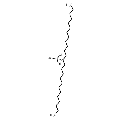 CCCCCCCCCCC[CH2][Sn][CH2]CCCCCCCCCCC.OB(O)O